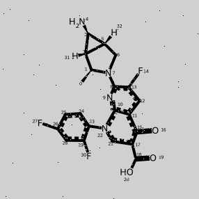 C[C@H]1[C@@H]2[C@@H](N)[C@@H]2CN1c1nc2c(cc1F)c(=O)c(C(=O)O)cn2-c1ccc(F)cc1F